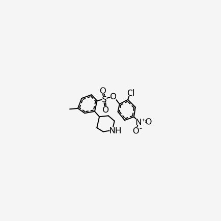 Cc1ccc(S(=O)(=O)Oc2ccc([N+](=O)[O-])cc2Cl)c(C2CCNCC2)c1